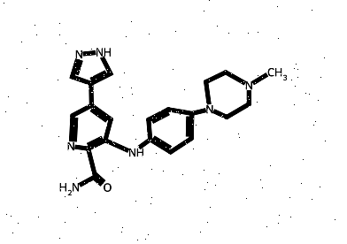 CN1CCN(c2ccc(Nc3cc(-c4cn[nH]c4)cnc3C(N)=O)cc2)CC1